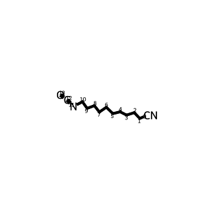 N#CCCCCCCCCCCN=C=O